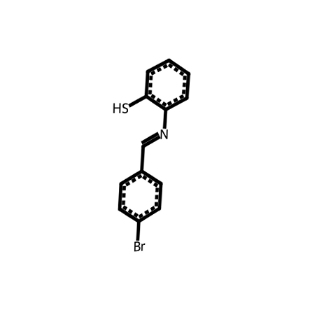 Sc1ccccc1/N=C/c1ccc(Br)cc1